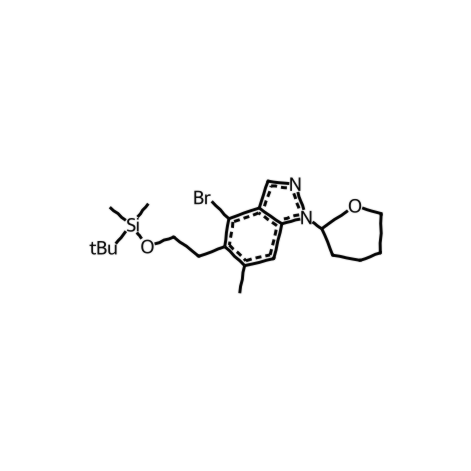 Cc1cc2c(cnn2C2CCCCO2)c(Br)c1CCO[Si](C)(C)C(C)(C)C